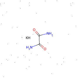 NC(=O)C(N)=O.[KH]